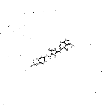 Cn1cnc2ncn(Cc3nn(CCc4ccc(OC(F)F)cc4)c(=O)o3)c(=O)c21